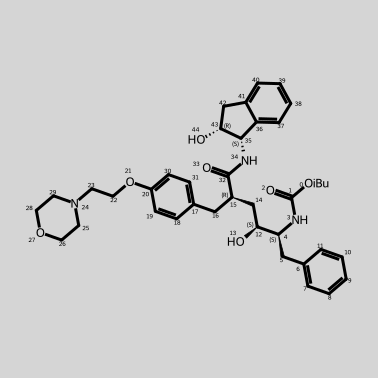 CC(C)COC(=O)N[C@@H](Cc1ccccc1)[C@@H](O)C[C@@H](Cc1ccc(OCCN2CCOCC2)cc1)C(=O)N[C@H]1c2ccccc2C[C@H]1O